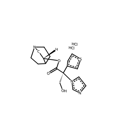 Cl.Cl.O=C(O[C@H]1CN2CCC1CC2)[C@@](CO)(c1ccsc1)n1ccnc1